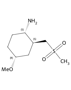 CO[C@@H]1CC[C@H](N)[C@@H](CS(C)(=O)=O)C1